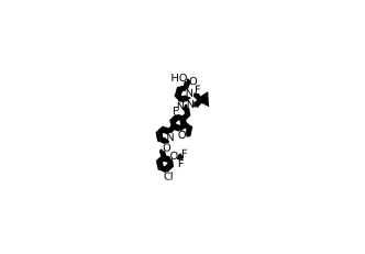 O=C(O)c1ccc2nc(Cc3c(F)cc(-c4cccc(OCc5ccc(Cl)cc5OC(F)F)n4)c4c3CCO4)n(CC3(CF)CC3)c2n1